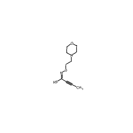 CC#C/C(S)=N\OCCN1CCOCC1